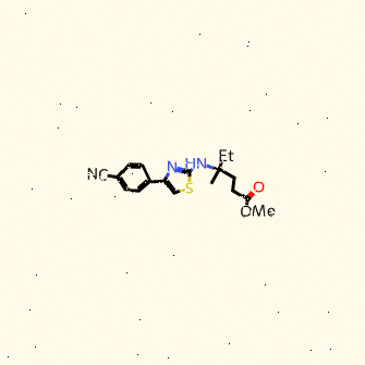 CCC(C)(CCC(=O)OC)Nc1nc(-c2ccc(C#N)cc2)cs1